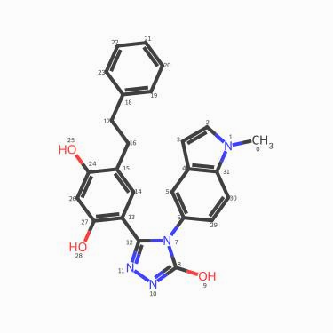 Cn1ccc2cc(-n3c(O)nnc3-c3cc(CCc4ccccc4)c(O)cc3O)ccc21